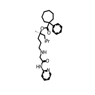 CC(C)C[C@@](C)(CCCNCC(=O)Nc1ccccn1)OC(=O)C1(c2ccccc2)CCCCCC1